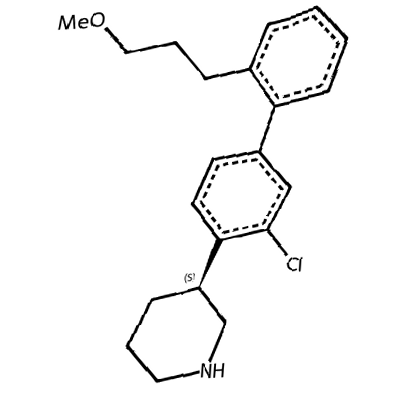 COCCCc1ccccc1-c1ccc([C@@H]2CCCNC2)c(Cl)c1